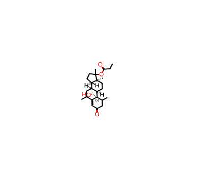 CCC(=O)OC1(C)CC[C@H]2[C@@H]3CC(C)C4=CC(=O)CC(C)[C@]4(CO)[C@@H]3CC[C@@]21C